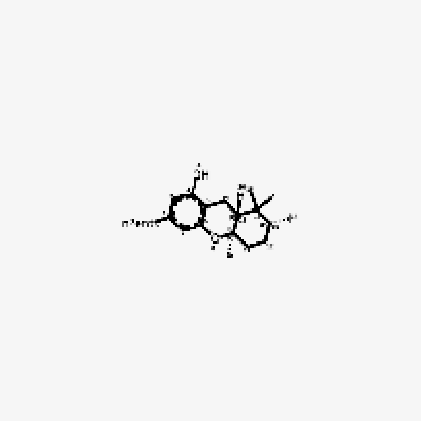 CCCCCc1cc(O)c2c(c1)O[C@]1(C)CC[C@@H](I)C(C)(C)[C@H]1C2